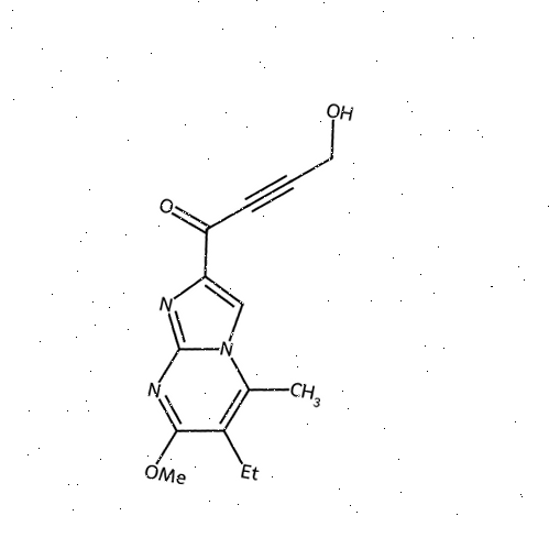 CCc1c(OC)nc2nc(C(=O)C#CCO)cn2c1C